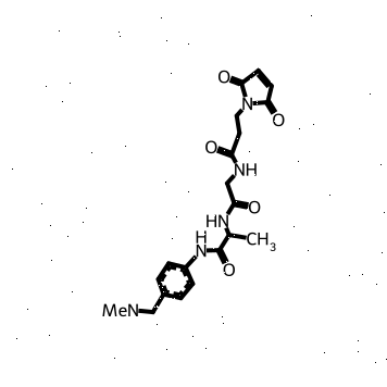 CNCc1ccc(NC(=O)C(C)NC(=O)CNC(=O)CCN2C(=O)C=CC2=O)cc1